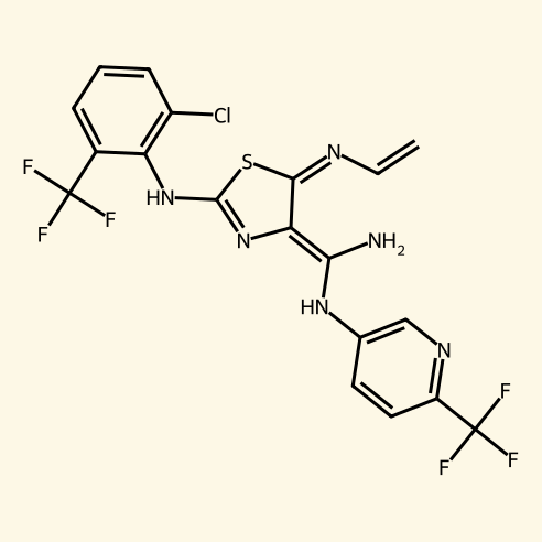 C=C/N=C1/SC(Nc2c(Cl)cccc2C(F)(F)F)=N/C1=C(/N)Nc1ccc(C(F)(F)F)nc1